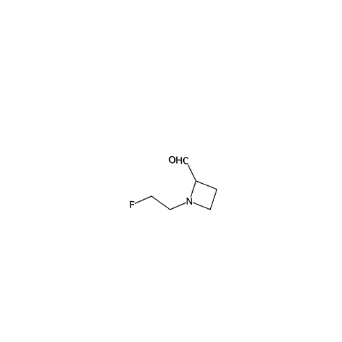 O=CC1CCN1CCF